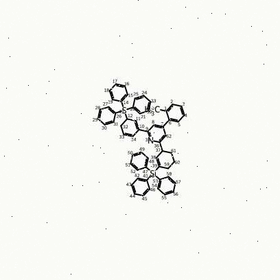 Cc1ccccc1-c1cc(C2=CC(S(c3ccccc3)(c3ccccc3)c3ccccc3)CC=C2)nc(C2C=C([Si](c3ccccc3)(c3ccccc3)c3ccccc3)CCC2)c1